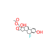 CC(=O)OCC(=O)[C@@]1(O)[C@H](C)CC2C3CC(F)C4=CC(O)C=C[C@]4(C)C3=CC[C@@]21C